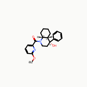 CCC(C)Oc1cccc(C(=O)N2CC[C@](O)(c3ccccc3)[C@H]3CCCC[C@H]32)n1